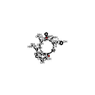 C[C@@H](O)[C@@H]1NC(=O)[C@@H]2CCc3cn(nn3)CC[C@H](C(=O)N[C@@H](Cc3ccc(O)cc3)C(=O)O)NC(=O)[C@H](CCC(N)=O)NC(=O)[C@H](Cc3c[nH]c4ccccc34)NC(=O)[C@H](CCCNC(N)=O)NC(=O)C(CSSCC(NC(=O)CN)C(=O)N2)NC(=O)[C@H](CCCNC(=N)N)NC(=O)C2CCCN2C(=O)[C@H](CC(=O)O)NC1=O